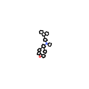 C1=CCCC(N(c2ccc(C3=CC4C=CC=CC4C4=C3CCC=C4)cc2)c2ccc(-c3ccc4ccc5oc6ccccc6c5c4c3)c(-c3ccccc3)c2)=C1